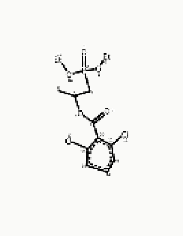 CCOP(=O)(CC(C)OC(=O)c1c(Cl)cccc1Cl)OCC